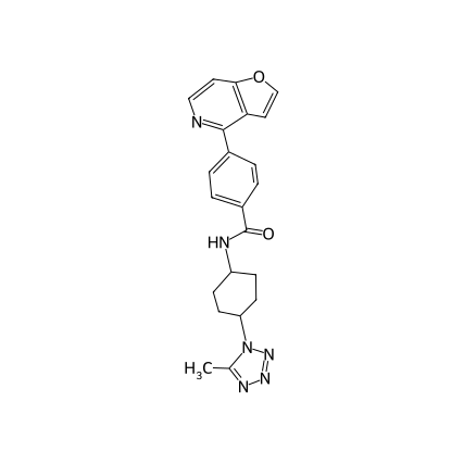 Cc1nnnn1C1CCC(NC(=O)c2ccc(-c3nccc4occc34)cc2)CC1